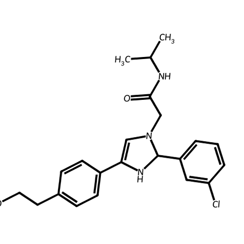 CC(C)NC(=O)CN1C=C(c2ccc(CCO)cc2)NC1c1cccc(Cl)c1